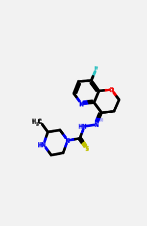 CC1CN(C(=S)N/N=C2/CCOc3c(F)ccnc32)CCN1